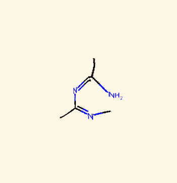 C/N=C(C)\N=C(\C)N